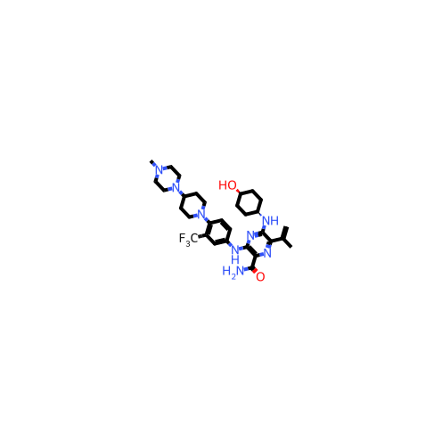 C=C(C)c1nc(C(N)=O)c(Nc2ccc(N3CCC(N4CCN(C)CC4)CC3)c(C(F)(F)F)c2)nc1N[C@H]1CC[C@H](O)CC1